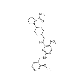 NC(=O)[C@H]1CCCN1[C@H]1CC[C@H](CNc2nc(NCc3ccccc3OC(F)(F)F)ncc2[N+](=O)[O-])CC1